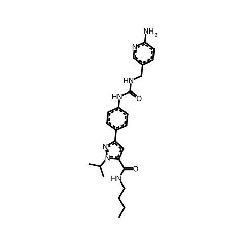 CCCCNC(=O)c1cc(-c2ccc(NC(=O)NCc3ccc(N)nc3)cc2)nn1C(C)C